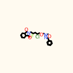 O=C1C2CC=CCC2C(=O)N1CC(F)CC(Cl)COCN1COC(c2ccccc2)=N1